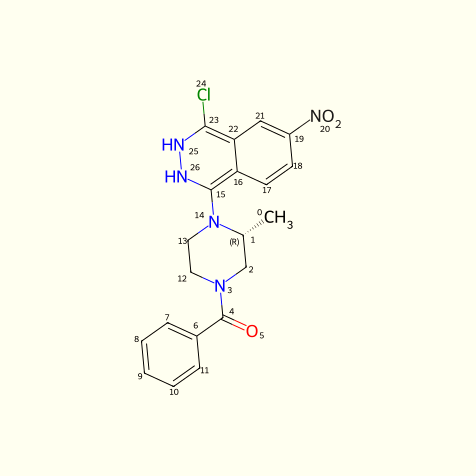 C[C@@H]1CN(C(=O)c2ccccc2)CCN1C1=c2ccc([N+](=O)[O-])cc2=C(Cl)NN1